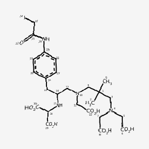 CC(C)(CN(CC(=O)O)CC(=O)O)CN(CC(=O)O)CC(Cc1ccc(NC(=O)CI)cc1)NC(C(=O)O)C(=O)O